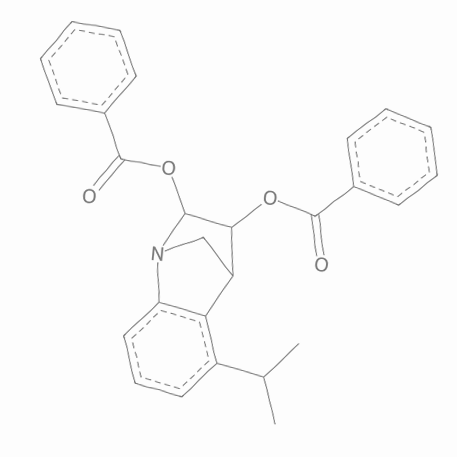 CC(C)c1cccc2c1C1CN2C(OC(=O)c2ccccc2)C1OC(=O)c1ccccc1